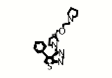 c1ccc(-c2csc3ncnc(N4CC[C@@H](COCCN5CCCC5)C4)c23)cc1